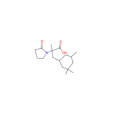 CC1CC(CC(C)(C(=O)O)N2CCCC2=O)CC(C)(C)C1